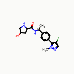 C[C@H](NC(=O)C1CC(O)CN1)c1ccc(-c2c(F)cnn2C)cc1